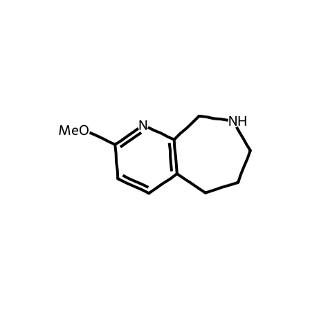 COc1ccc2c(n1)CNCCC2